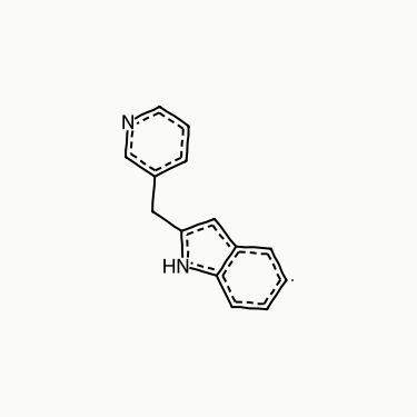 [c]1ccc2[nH]c(Cc3cccnc3)cc2c1